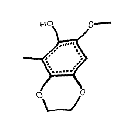 COc1cc2c(c(C)c1O)OCCO2